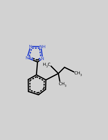 CCC(C)(C)c1ccccc1-c1nn[nH]n1